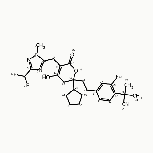 Cn1nc(C(F)F)nc1CC1=C(O)CC(CCc2ccc(C(C)(C)C#N)c(F)c2)(C2CCCC2)OC1=O